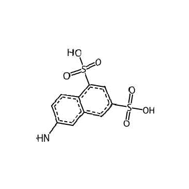 [NH]c1ccc2c(S(=O)(=O)O)cc(S(=O)(=O)O)cc2c1